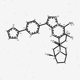 CC(=O)c1c(C2CC3CC[C@H](C2)N3C(=O)CO)nc2c(-c3ccc(-c4nccs4)nc3)cnn2c1N